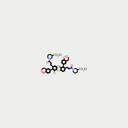 CCOC(=O)C1CCCN(C(=O)/C=C/c2ccc(Sc3ccc(/C=C/C(=O)N4CCCC(C(=O)OCC)C4)c(-c4ccc5c(c4)CCOO5)c3Cl)c(Cl)c2-c2ccc3c(c2)CCOO3)C1